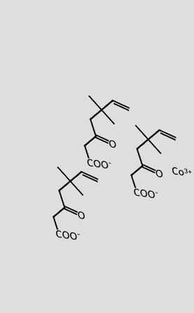 C=CC(C)(C)CC(=O)CC(=O)[O-].C=CC(C)(C)CC(=O)CC(=O)[O-].C=CC(C)(C)CC(=O)CC(=O)[O-].[Co+3]